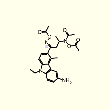 CCn1c2ccc(N)cc2c2c(C)c(/C(CC(C)N(OC(C)=O)C(C)=O)=N/OC(C)=O)ccc21